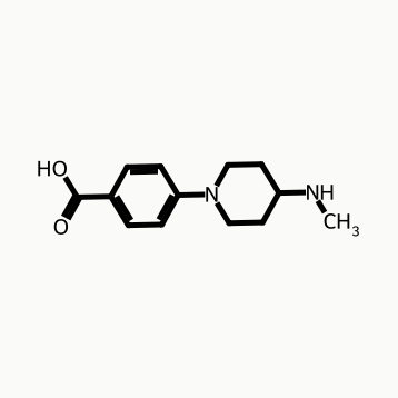 CNC1CCN(c2ccc(C(=O)O)cc2)CC1